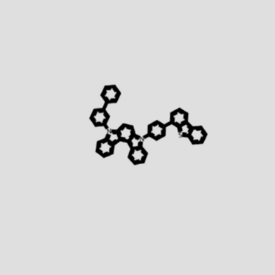 c1ccc(-c2cccc(-n3c4ccccc4c4c5c6ccccc6n(-c6ccc(-c7cccc8c7sc7ccccc78)cc6)c5ccc43)c2)cc1